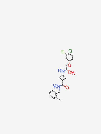 Cc1ccccc1CNC(=O)C12CC(NC(O)COc3ccc(Cl)c(F)c3)(C1)C2